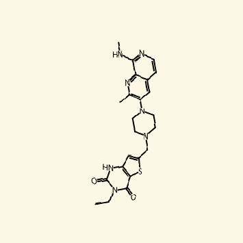 CCn1c(=O)[nH]c2cc(CN3CCN(c4cc5ccnc(NC)c5nc4C)CC3)sc2c1=O